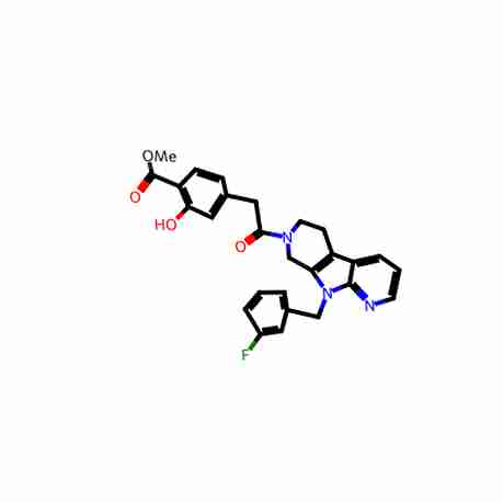 COC(=O)c1ccc(CC(=O)N2CCc3c(n(Cc4cccc(F)c4)c4ncccc34)C2)cc1O